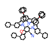 N#Cc1c(-n2c3ccc(-c4ccccc4)cc3c3cc(-c4ccccc4)ccc32)c(-n2c3ccc(-c4ccccc4)cc3c3cc(-c4ccccc4)ccc32)c(-n2c3ccc(-c4ccccc4)cc3c3cc(-c4ccccc4)ccc32)c2oc3c(-c4ccccc4)cccc3c12